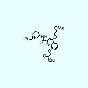 COCCOc1cc(C(=O)N[C@@H]2CCCN(CC(C)C)C2)nc2c(OCC(=O)C(C)(C)C)cccc12